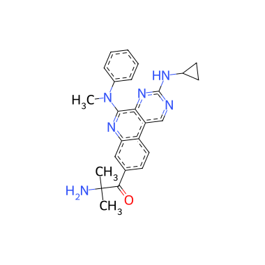 CN(c1ccccc1)c1nc2cc(C(=O)C(C)(C)N)ccc2c2cnc(NC3CC3)nc12